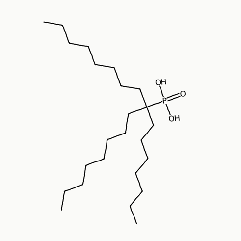 CCCCCCCCC(CCCCCCC)(CCCCCCCC)P(=O)(O)O